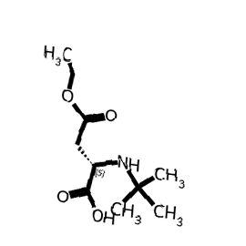 CCOC(=O)C[C@H](NC(C)(C)C)C(=O)O